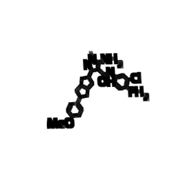 COc1ccc(C2CC3CC(c4nn(C)c(N)c4C(=O)Nc4ccc(P)c(Cl)c4)CC3C2)cc1